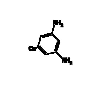 Nc1cccc(N)c1.[Co]